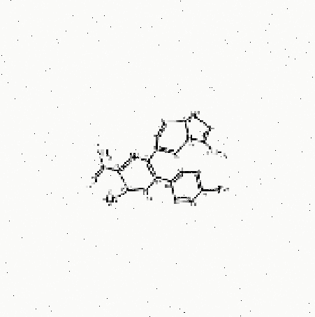 Cc1cnc2ccc(-c3nc(C(N)=O)c(N)nc3-c3ccc(F)cc3)cn12